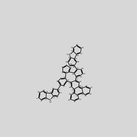 c1ccc2c(c1)-c1ccc(-c3ccc4sc5ccccc5c4c3)cc1-c1cc3c4ccccc4c4ccccc4c3cc1-c1cccc(-c3ccc4sc5ccccc5c4c3)c1-2